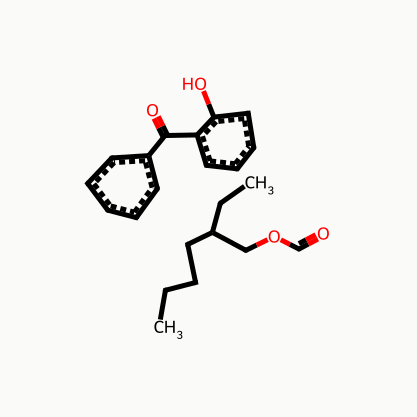 CCCCC(CC)COC=O.O=C(c1ccccc1)c1ccccc1O